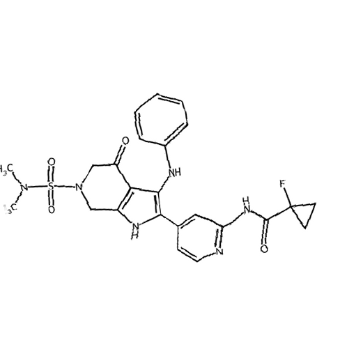 CN(C)S(=O)(=O)N1CC(=O)c2c([nH]c(-c3ccnc(NC(=O)C4(F)CC4)c3)c2Nc2ccccc2)C1